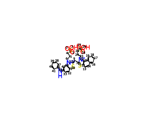 O=S(=O)(O)CCCN1/C(=C/c2sc3ccc4ccccc4c3[n+]2CCCS(=O)(=O)O)Sc2ccc(Nc3ccccc3)cc21